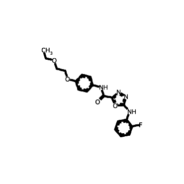 CCOCCOc1ccc(NC(=O)c2nnc(Nc3ccccc3F)o2)cc1